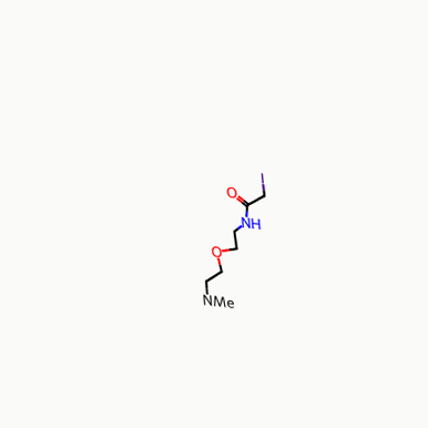 CNCCOCCNC(=O)CI